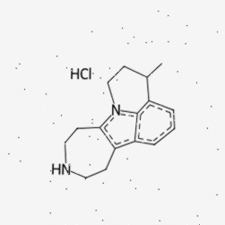 CC1CCn2c3c(c4cccc1c42)CCNCC3.Cl